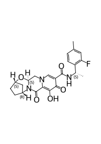 Cc1ccc([C@H](C)NC(=O)c2cn3c(c(O)c2=O)C(=O)N2[C@@H]4CC[C@@H](C4)O[C@H]2C3)c(F)c1